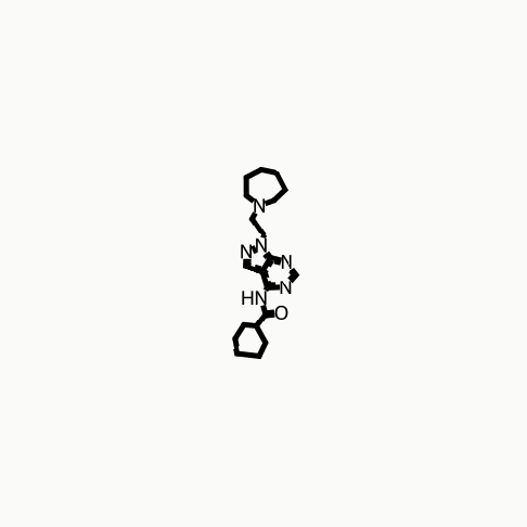 O=C(Nc1ncnc2c1cnn2CCN1CCCCCC1)C1CCCCC1